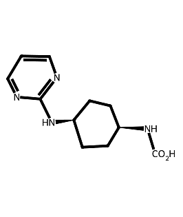 O=C(O)N[C@H]1CC[C@@H](Nc2ncccn2)CC1